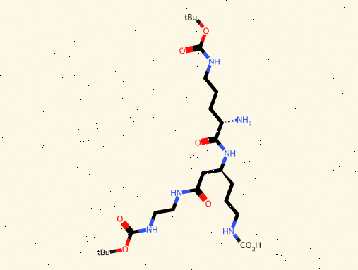 CC(C)(C)OC(=O)NCCC[C@H](N)C(=O)N[C@@H](CCCNC(=O)O)CC(=O)NCCNC(=O)OC(C)(C)C